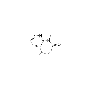 CC1CCC(=O)N(C)c2ncccc21